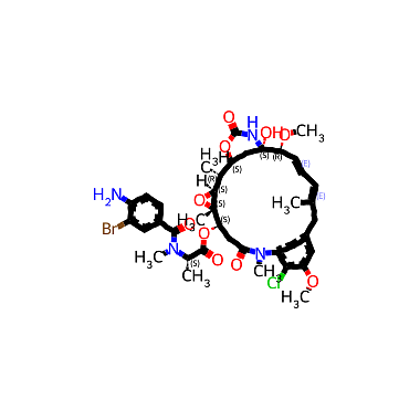 COc1cc2cc(c1Cl)N(C)C(=O)C[C@H](OC(=O)[C@H](C)N(C)C(=O)c1ccc(N)c(Br)c1)[C@]1(C)O[C@H]1[C@H](C)[C@@H]1C[C@@](O)(NC(=O)O1)[C@H](OC)/C=C/C=C(\C)C2